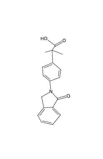 CC(C)(C(=O)O)c1ccc(N2Cc3ccccc3C2=O)cc1